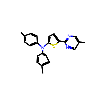 Cc1ccc(N(c2ccc(C)cc2)c2ccc(-c3ncc(C)cn3)s2)cc1